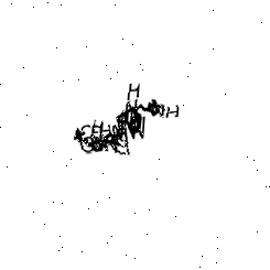 CC1(C)CC(CCC(Nc2cccc(SNC(=O)c3ccc(N4C=CC(OCCC5(C(F)(F)F)CC5)N4)nc3Cl)n2)c2cncnc2)CN1